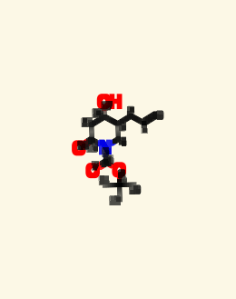 C=CCC1CN(C(=O)OC(C)(C)C)C(=O)CC1O